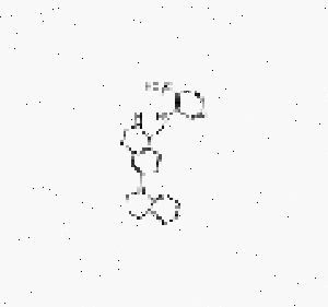 O=C(O)c1ccncc1NCC1NCCc2cc(N3CCCc4ccccc43)ccc21